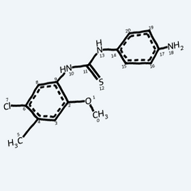 COc1cc(C)c(Cl)cc1NC(=S)Nc1ccc(N)cc1